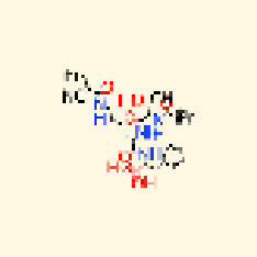 CC(C)/C=C(\C#N)C(=O)NCCCC[C@H](NC(=O)[C@@H](NC(=O)C(C)C)[C@@H](C)O)C(=O)NC(Cc1ccccc1)B(O)O